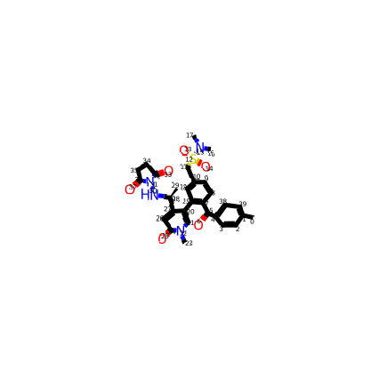 Cc1ccc(C(=O)c2ccc(CS(=O)(=O)N(C)C)cc2-c2cn(C)c(=O)cc2[C@H](C)NN2C(=O)CCC2=O)cc1